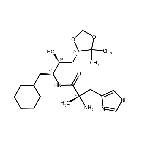 CC1(C)OCO[C@H]1C[C@H](O)[C@H](CC1CCCCC1)NC(=O)[C@@](C)(N)Cc1c[nH]cn1